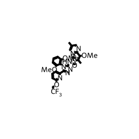 COc1cccc(OC)c1-n1c(NS(=O)(=O)C(C)C(OC)c2ncc(C)cn2)nnc1-c1cccc(OCC(F)(F)F)n1